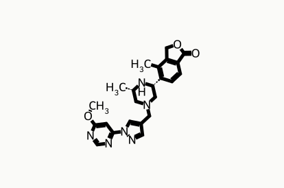 COc1cc(-n2cc(CN3C[C@@H](c4ccc5c(c4C)COC5=O)N[C@@H](C)C3)cn2)ncn1